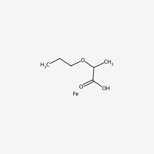 CCCOC(C)C(=O)O.[Fe]